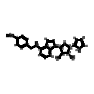 COc1ccc(CNc2ncnc3c2ncn3[C@@H]2O[C@H](c3nnn[nH]3)[C@H](O)C2O)cc1